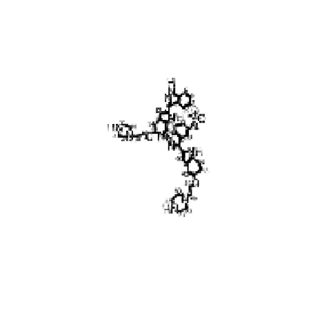 CP(=O)(Oc1ccc2[nH]nc(-c3cc4cc(OCCN5CCNCC5)ccc4[nH]3)c2c1)Oc1ccc2[nH]nc(-c3cc4cc(OCCN5CCNCC5)ccc4[nH]3)c2c1